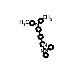 Cc1ccc(N(c2ccc(C)cc2)c2ccc(-c3ccc(-c4ccc(-c5nc6ccccc6n5-c5ccccc5)nc4)cc3)cc2)cc1